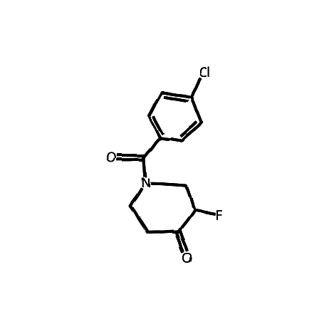 O=C1CCN(C(=O)c2ccc(Cl)cc2)CC1F